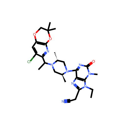 CCn1c(CC#N)nc2c(N3C[C@@H](C)N(C(C)c4nc5c(cc4Cl)OCC(C)(C)O5)C[C@@H]3C)nc(=O)n(C)c21